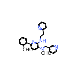 O=Cc1ccccc1-c1ccc(N(C=O)Cc2cccnc2)c(NCCc2ccccn2)n1